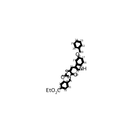 CCOC(=O)c1ccc(CN2C(=O)SC(=Cc3c[nH]c4ccc(OCc5ccccc5)cc34)C2=O)cc1